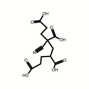 N#CC(CCC(=O)O)(CC(CCC(=O)O)C(=O)O)C(=O)O